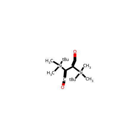 CC(C)(C)[Si](C)(C)C(=C=O)C(=C=O)[Si](C)(C)C(C)(C)C